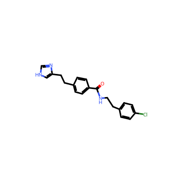 O=C(NCCc1ccc(Cl)cc1)c1ccc(CCc2c[nH]cn2)cc1